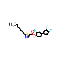 CCCCCCCc1ncc(C(=O)Oc2ccc(-c3ccc(F)c(F)c3)cc2F)s1